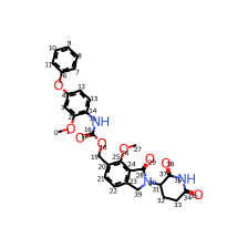 COc1cc(Oc2ccccc2)ccc1NC(=O)OCc1ccc2c(c1OC)C(=O)N(C1CCC(=O)NC1=O)C2